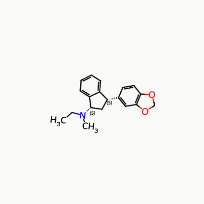 CCN(C)[C@H]1C[C@@H](c2ccc3c(c2)OCO3)c2ccccc21